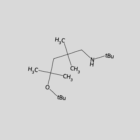 CC(C)(CNC(C)(C)C)CC(C)(C)OC(C)(C)C